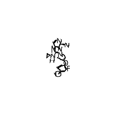 COc1ccc(OC2CCN(c3nc4c(C#N)nccc4nc3NC3CC3)CC2)c(F)c1